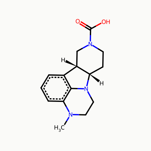 CN1CCN2c3c(cccc31)[C@@H]1CN(C(=O)O)CC[C@@H]12